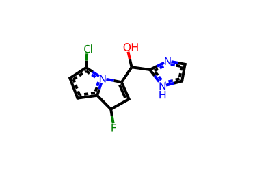 OC(C1=CC(F)c2ccc(Cl)n21)c1ncc[nH]1